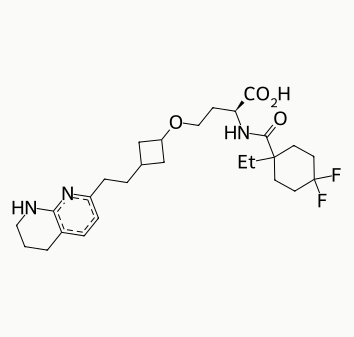 CCC1(C(=O)N[C@@H](CCOC2CC(CCc3ccc4c(n3)NCCC4)C2)C(=O)O)CCC(F)(F)CC1